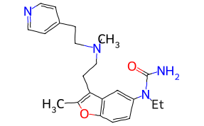 CCN(C(N)=O)c1ccc2oc(C)c(CCN(C)CCc3ccncc3)c2c1